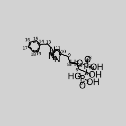 O=P(O)(O)C(O)(CCCCc1cn(Cc2ccccc2)nn1)P(=O)(O)O